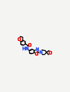 O=C(Nc1ccc2oc(N3CCC4(CC3)COC4)nc2c1)c1ccc2c(c1)CCO2